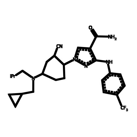 CC(C)CN(CC1CC1)C1CCC(n2cc(C(N)=O)c(Nc3ccc(C(F)(F)F)cc3)n2)C(C#N)C1